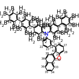 Bc1c(B)c(B)c(-c2c(B)c(B)c(-c3c(B)c(B)c(N(c4cccc(-c5cccc6oc7c8ccccc8ccc7c56)c4)c4c(B)c(B)c(-c5c(B)c(B)c(B)c(B)c5B)c(B)c4B)c(B)c3B)c(B)c2B)c(B)c1B